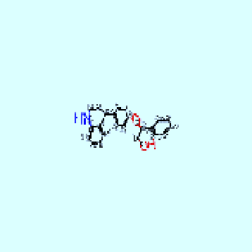 OCC(Oc1ccc(C2CCNc3ccccc32)cc1)c1ccccc1